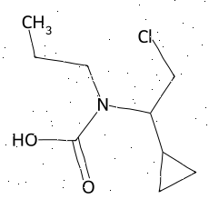 CCCN(C(=O)O)C(CCl)C1CC1